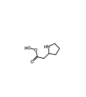 O=C(CC1CCCN1)OO